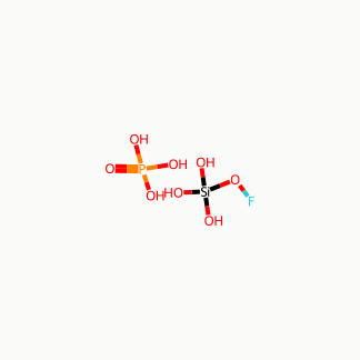 O=P(O)(O)O.O[Si](O)(O)OF